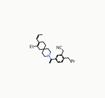 C=C(c1ccc(CC(C)C)c(CC#N)c1)N1CCC2(CCC(/C=C\C)=C(CC)C2)CC1